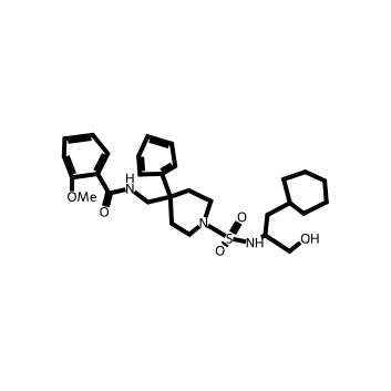 COc1ccccc1C(=O)NCC1(c2ccccc2)CCN(S(=O)(=O)NC(CO)CC2CCCCC2)CC1